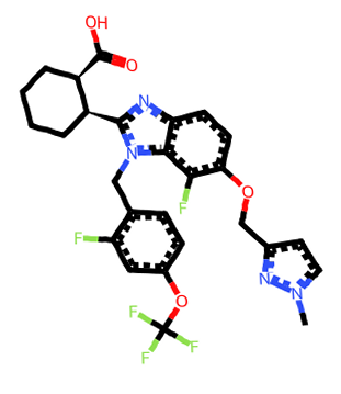 Cn1ccc(COc2ccc3nc([C@H]4CCCC[C@H]4C(=O)O)n(Cc4ccc(OC(F)(F)F)cc4F)c3c2F)n1